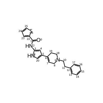 O=C(Nc1cc(C2=CCN(CCc3ccccc3)CC2)c[nH]1)c1cccs1